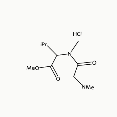 CNCC(=O)N(C)C(C(=O)OC)C(C)C.Cl